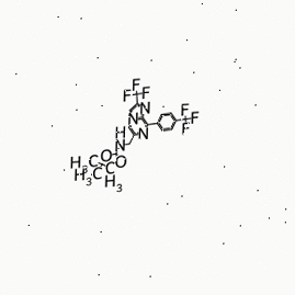 CC(C)(C)OC(=O)NCc1cn2cc(C(F)(F)F)nc2c(-c2ccc(C(F)(F)F)cc2)n1